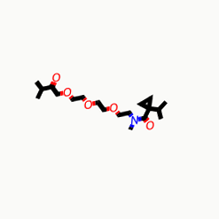 CC(C)C(=O)COCCOCCOCCN(C)C(=O)C1(C(C)C)CC1